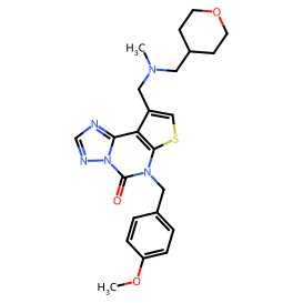 COc1ccc(Cn2c(=O)n3ncnc3c3c(CN(C)CC4CCOCC4)csc32)cc1